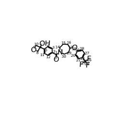 O=C(c1ccc(C2(O)COC2)cc1)N1CCCC(Oc2ccc(C(F)(F)F)cc2)CC1